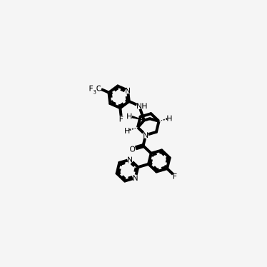 O=C(c1ccc(F)cc1-c1ncccn1)N1C[C@@H]2CC[C@H]1[C@H](Nc1ncc(C(F)(F)F)cc1F)C2